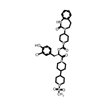 CS(=O)(=O)N1CCC(C2CCN(C(=O)[C@@H](Cc3ccc(O)c(Cl)c3)OC(=O)N3CCC(N4CCc5ccccc5NC4=O)CC3)CC2)CC1